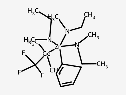 CC[N](C)[Zr]([C]1=CC=CC1)([N](C)CC)([N](C)CC)[Ge]([CH3])([CH3])[C](F)(F)F